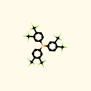 FC(F)(F)c1ccc(P(c2ccc(C(F)(F)F)c(C(F)(F)F)c2)c2ccc(C(F)(F)F)c(C(F)(F)F)c2)cc1C(F)(F)F